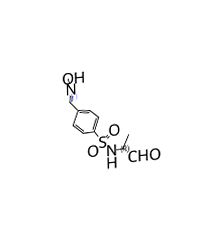 C[C@H](C=O)NS(=O)(=O)c1ccc(/C=N/O)cc1